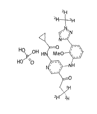 O=P(O)(O)O.[2H]C([2H])([2H])CC(=O)c1cnc(NC(=O)C2CC2)cc1Nc1cccc(-c2ncn(C([2H])([2H])[2H])n2)c1OC